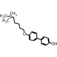 C[Si](C)(C)CCCCCOc1ccc(-c2ccc(O)cc2)cc1